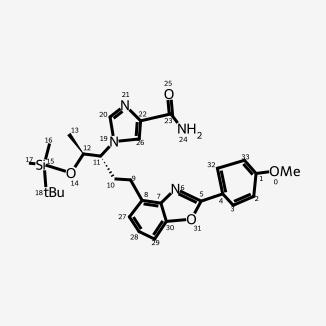 COc1ccc(-c2nc3c(CC[C@H]([C@H](C)O[Si](C)(C)C(C)(C)C)n4cnc(C(N)=O)c4)cccc3o2)cc1